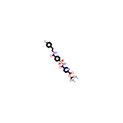 CC(C)OC(=O)c1ccc(C(=O)NS(=O)(=O)c2ccc(C(=O)NCCc3ccc(F)cc3)cc2)cn1